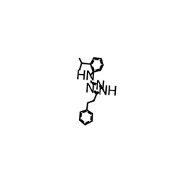 CC(C)c1ccccc1Nc1n[nH]c(CCc2ccccc2)n1